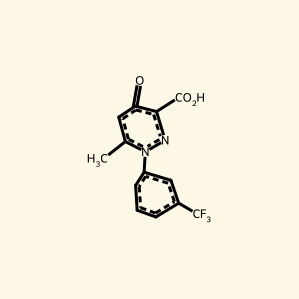 Cc1cc(=O)c(C(=O)O)nn1-c1cccc(C(F)(F)F)c1